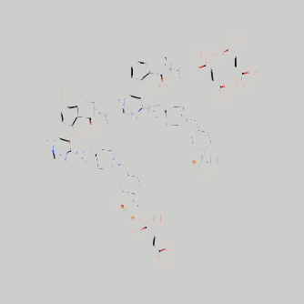 CC(C)N(C(=O)c1cc(F)ccc1Oc1cncnc1N1CC2(CCN(CC3CCC(NS(C)(=O)=O)CC3)CC2)C1)C(C)C.CC(C)N(C(=O)c1cc(F)ccc1Oc1cncnc1N1CC2(CCN(CC3CCC(NS(C)(=O)=O)CC3)CC2)C1)C(C)C.O=C(O)/C=C/C(=O)O.O=C(O)/C=C/C(=O)O.O=C(O)/C=C/C(=O)O